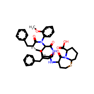 COc1ccccc1N(C(=O)[C@H](CC[C@H](Cc1ccccc1)C(=O)NC1CCSC2CCCC(C(=O)O)N2C1=O)Cc1ccccc1)C1CCCCNC1=O